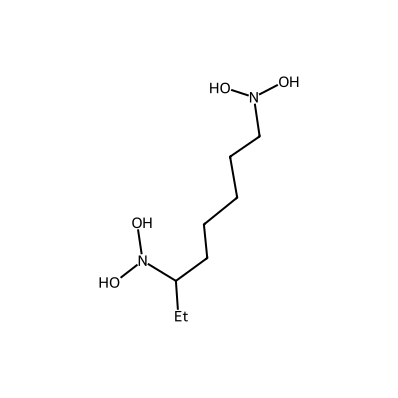 CCC(CCCCCN(O)O)N(O)O